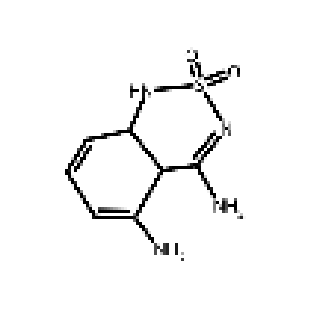 NC1=CC=CC2NS(=O)(=O)N=C(N)C12